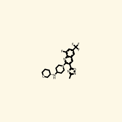 Cc1noc(-c2cc3cc(C(F)(F)F)cc(F)c3nc2N2CCC(N[C@H]3CCCOC3)CC2)n1